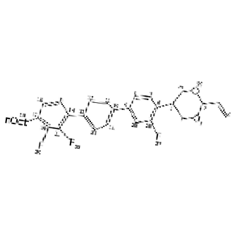 C=CC1OCC(c2ccc(-c3ccc(-c4ccc(CCCCCCCC)c(F)c4F)cc3)cc2F)CO1